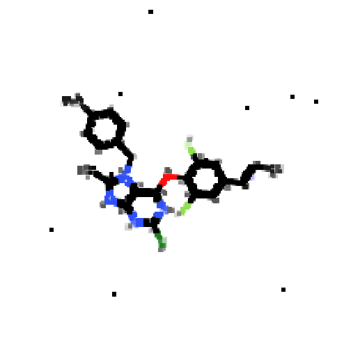 COc1ccc(Cn2c(C)nc3nc(Cl)nc(Oc4c(F)cc(/C=C/C#N)cc4F)c32)cc1